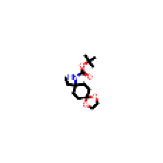 CCC1(NC(=O)OC(C)(C)C)CCC2(CC1)OCCO2